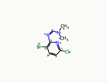 CN(C)/C=N\c1nc(Cl)ccc1Br